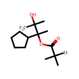 CCC(C)(C)C(=O)OC(C)(C1CCCC1)C(C)(O)C(F)(F)F